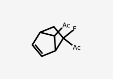 CC(=O)C1C2C=CC1C(F)(C(C)=O)C2